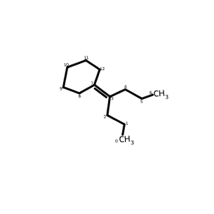 CCCC(CCC)=C1CCCCC1